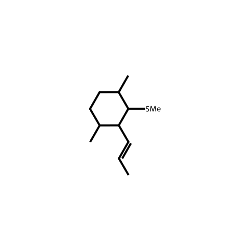 CC=CC1C(C)CCC(C)C1SC